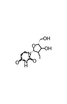 O=c1ccn([C@@H]2O[C@H](CO)C(O)C2I)c(=O)[nH]1